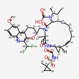 CC[C@H](C)N(C(=O)O)[C@H]1CCCCC/C=C\[C@@H]2C[C@@]2(C(=O)NS(=O)(=O)C2(C)CC2)NC(=O)[C@@H]2C[C@]3(CCc4c(c(C(F)F)nc5ccc(OC)cc45)O3)CN2C1=O